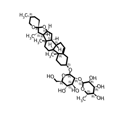 C[C@@H]1CC[C@@]2(OC1)O[C@H]1C[C@H]3[C@@H]4CC=C5C[C@@H](O[C@@H]6O[C@H](CO)[C@@H](O)[C@H](O)[C@H]6O[C@@H]6O[C@@H](C)[C@H](O)[C@@H](O)[C@H]6O)CC[C@]5(C)[C@H]4CC[C@]3(C)[C@H]1[C@@H]2C